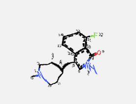 CN1CCC(c2c[nH]c(=O)c3c(F)cccc23)CC1